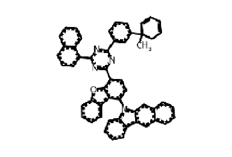 CC1(c2cccc(-c3nc(-c4cccc5ccccc45)nc(-c4ccc(-n5c6ccccc6c6cc7ccccc7cc65)c5c4oc4ccccc45)n3)c2)C=CC=CC1